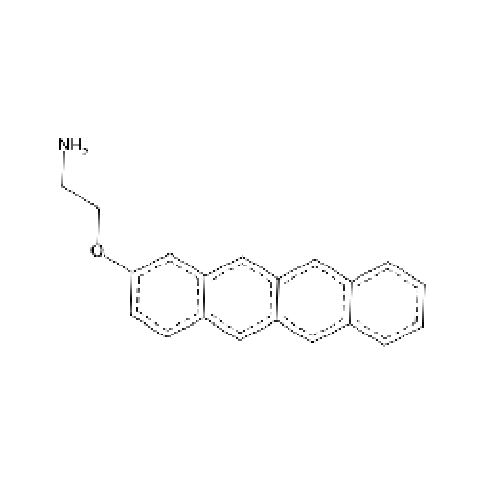 NCCOc1ccc2cc3cc4ccccc4cc3cc2c1